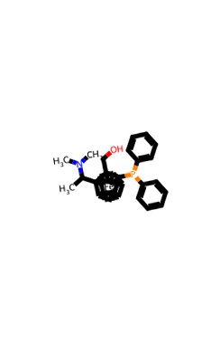 CC(N(C)C)[C]12[CH]3[CH]4[C]5(P(c6ccccc6)c6ccccc6)[C]1(CO)[Fe]34251678[CH]2[CH]1[CH]6[CH]7[CH]28